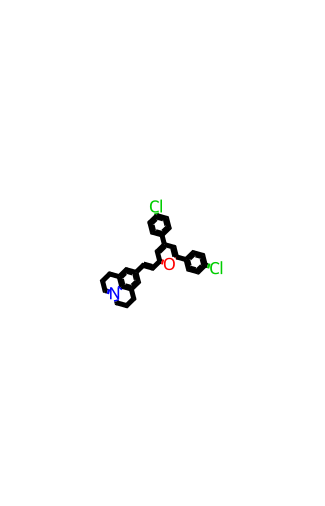 Clc1ccc(C2=CC(/C=C/c3cc4c5c(c3)CCCN5CCC4)OC(c3ccc(Cl)cc3)=C2)cc1